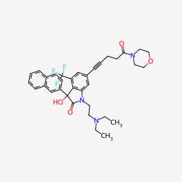 CCN(CC)CCN1C(=O)C(O)(c2ccc3ccccc3c2)c2c1cc(C#CCCC(=O)N1CCOCC1)cc2C(F)(F)F